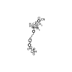 CC1(C)[C@H](NC(=O)c2ccc(CCCCN3CCN(c4ccc5c(c4)CN([C@H]4CCC(=O)NC4=O)C5=O)CC3)cc2)C(C)(C)[C@H]1Oc1ccc(C#N)c(Cl)c1